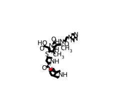 C[C@@H](NC(=O)Cn1cnnn1)[C@H]1C(=O)N2C(C(=O)O)=C(S[C@@H]3CN[C@H](C(=O)N4C[C@@]56CNCC5CC4C6)C3)[C@H](C)[C@H]12